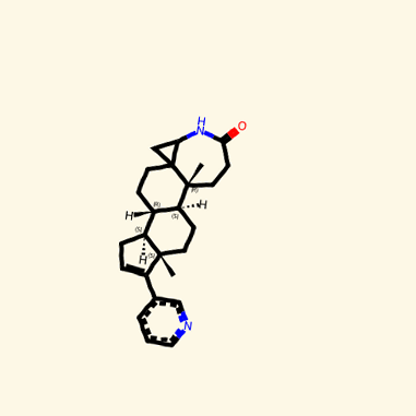 C[C@]12CC[C@H]3[C@@H](CCC45CC4NC(=O)CC[C@]35C)[C@@H]1CC=C2c1cccnc1